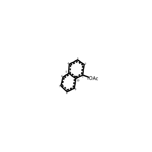 CC(=O)Oc1cccc2[c]cccc12